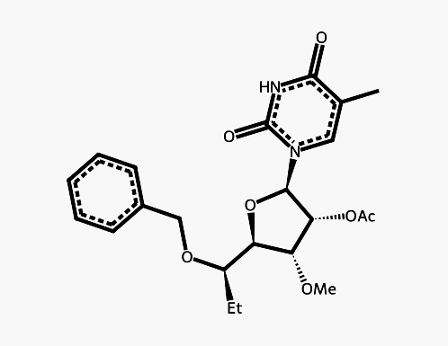 CC[C@@H](OCc1ccccc1)[C@H]1O[C@@H](n2cc(C)c(=O)[nH]c2=O)[C@H](OC(C)=O)[C@@H]1OC